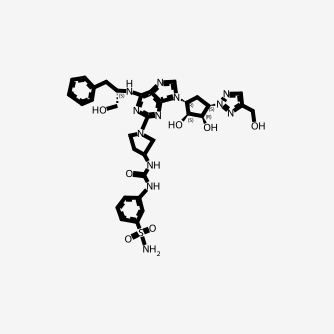 NS(=O)(=O)c1cccc(NC(=O)NC2CCN(c3nc(N[C@H](CO)Cc4ccccc4)c4ncn([C@@H]5C[C@H](n6ncc(CO)n6)[C@@H](O)[C@H]5O)c4n3)C2)c1